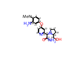 CNc1ccc(Oc2ccnc(C(C(N)=O)N3CCCC3CO)c2)cc1N